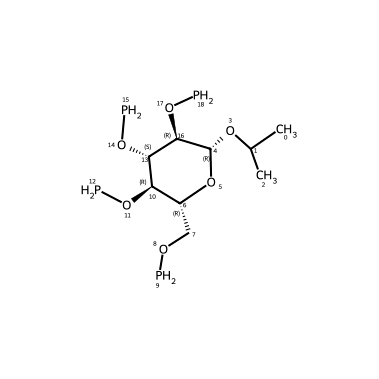 CC(C)O[C@@H]1O[C@H](COP)[C@@H](OP)[C@H](OP)[C@H]1OP